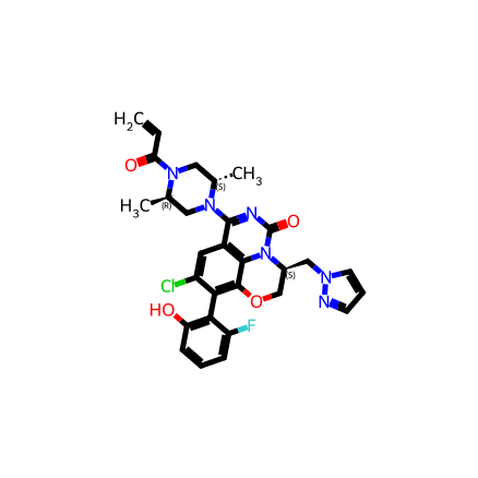 C=CC(=O)N1C[C@H](C)N(c2nc(=O)n3c4c(c(-c5c(O)cccc5F)c(Cl)cc24)OC[C@@H]3Cn2cccn2)C[C@H]1C